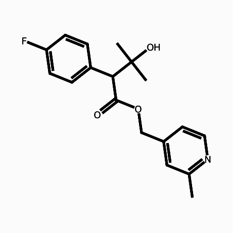 Cc1cc(COC(=O)C(c2ccc(F)cc2)C(C)(C)O)ccn1